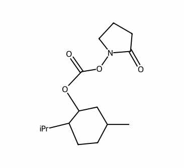 CC1CCC(C(C)C)C(OC(=O)ON2CCCC2=O)C1